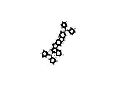 c1ccc(N(c2ccccc2)c2ccc3c(c2)Cc2cc4c(cc2-3)Cc2cc(N(c3ccccc3)c3ccccc3)c3ccccc3c2-4)cc1